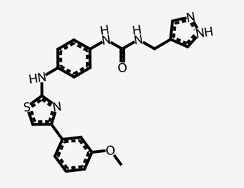 COc1cccc(-c2csc(Nc3ccc(NC(=O)NCc4cn[nH]c4)cc3)n2)c1